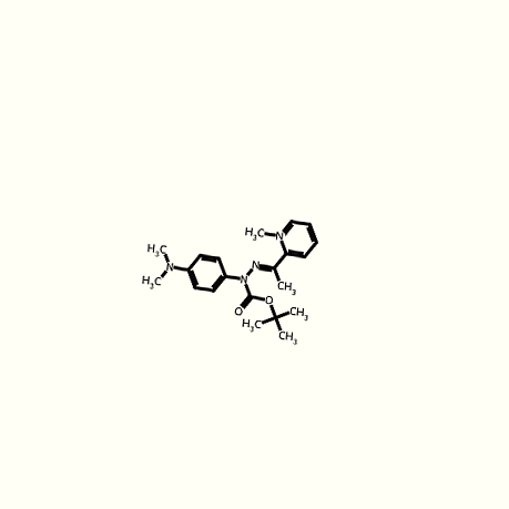 C/C(=N\N(C(=O)OC(C)(C)C)c1ccc(N(C)C)cc1)c1cccc[n+]1C